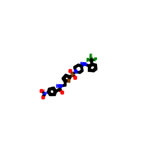 O=C(NCc1ccc(S(=O)(=O)N2CCC(Nc3ccccc3C(F)(F)F)CC2)s1)c1ccc([N+](=O)[O-])cc1